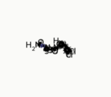 NC(=O)/C=C/c1csc(SCC(=O)NC[C@H]2CN(Cc3ccc(Cl)c(Cl)c3)CCO2)n1